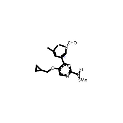 CCN(SC)c1ncc(OCC2CC2)c(/C(C=C(C)C)=C/N(C)C=O)n1